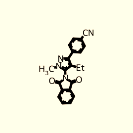 CCc1c(-c2ccc(C#N)cc2)nn(C)c1N1C(=O)c2ccccc2C1=O